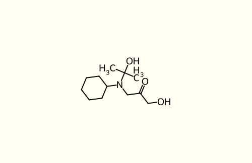 CC(C)(O)N(CC(=O)CO)C1CCCCC1